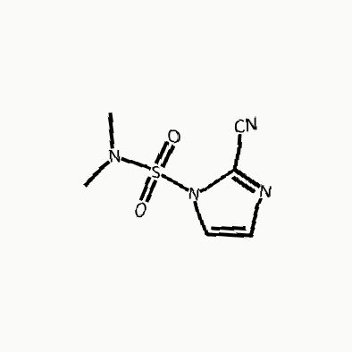 CN(C)S(=O)(=O)n1ccnc1C#N